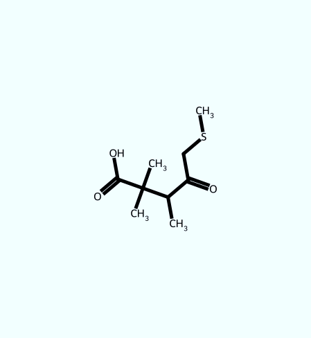 CSCC(=O)C(C)C(C)(C)C(=O)O